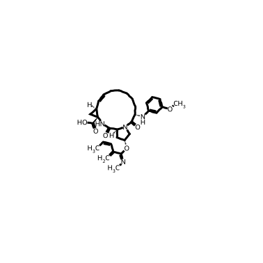 C=C(/C=C\C)/C(=N\C)O[C@@H]1C[C@H]2C(=O)N[C@]3(C(=O)O)C[C@H]3/C=C\CCCCC[C@H](Nc3cccc(OC)c3)C(=O)N2C1